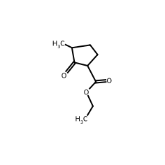 CCOC(=O)C1CCC(C)C1=O